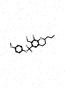 CCCC1CCc2cc(C(F)(F)Oc3ccc(OC)cc3)c(CF)c(F)c2O1